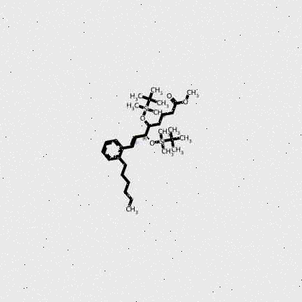 CCCCCCc1ccccc1/C=C/[C@@H](O[Si](C)(C)C(C)(C)C)C(CCCC(=O)OC)O[Si](C)(C)C(C)(C)C